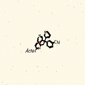 CC(=O)Nc1cccc(CC(c2cccnc2)(c2cccnc2)c2cccc(C#N)c2)n1